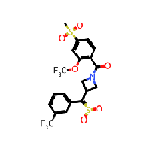 CS(=O)(=O)c1ccc(C(=O)N2CC(C(c3cccc(C(F)(F)F)c3)=S(=O)=O)C2)c(OC(F)(F)F)c1